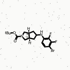 CC(C)(C)OC(=O)N1C[C@H]2CC(Nc3ccc(Br)c(F)c3F)C[C@H]2C1